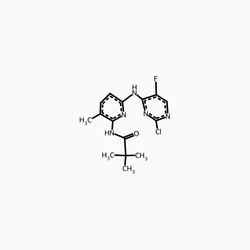 Cc1ccc(Nc2nc(Cl)ncc2F)nc1NC(=O)C(C)(C)C